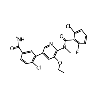 CCOc1cc(-c2cc(C(=O)NC)ccc2Cl)cnc1N(C)C(=O)c1c(F)cccc1Cl